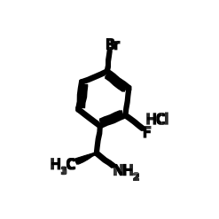 C[C@H](N)c1ccc(Br)cc1F.Cl